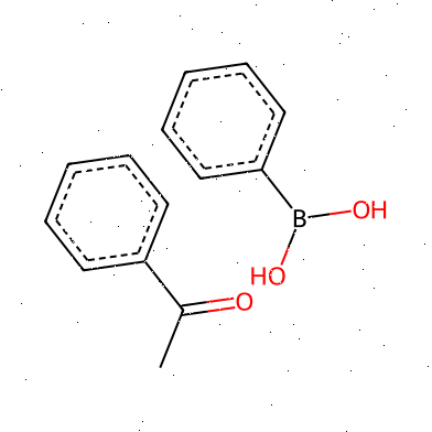 CC(=O)c1ccccc1.OB(O)c1ccccc1